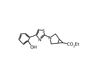 CCOC(=O)C1C2CN(c3nc(-c4ccccc4O)cs3)CC21